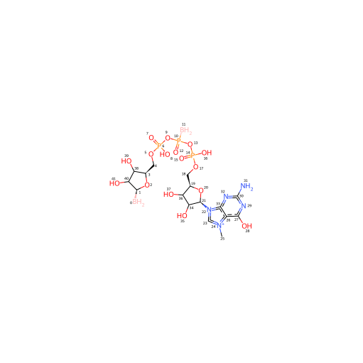 B[C@@H]1O[C@H](COP(=O)(O)OP(B)(=O)OP(=O)(O)OC[C@H]2O[C@@H](n3c[n+](C)c4c(O)nc(N)nc43)C(O)C2O)C(O)C1O